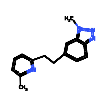 Cc1cccc(CCc2ccc3nnn(C)c3c2)n1